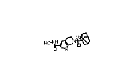 CCC(CC)(N1CCc2cc(C(=O)NO)cnc2C1)C12CC3CC(CC(C3)C1)C2